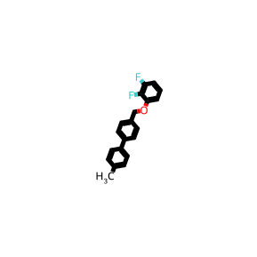 Cc1ccc(-c2ccc(COc3cccc(F)c3F)cc2)cc1